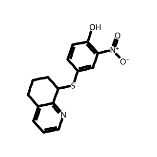 O=[N+]([O-])c1cc(SC2CCCc3cccnc32)ccc1O